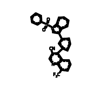 N#Cc1cnc2c(C(F)(F)F)cccc2c1-c1cccc(-c2cn(S(=O)(=O)c3ccccc3)c3ccccc23)c1